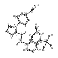 CC(c1ncnn1-c1ccc(C#N)cn1)N(C)c1ncnc2c(C(F)(F)F)cc(Br)cc12